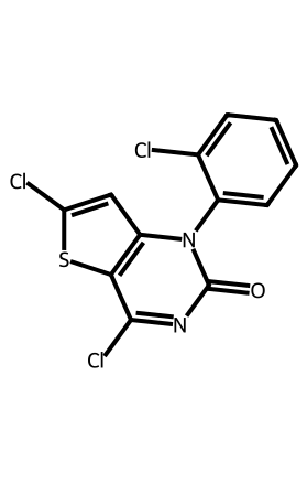 O=c1nc(Cl)c2sc(Cl)cc2n1-c1ccccc1Cl